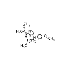 CCCNC(=O)N(c1ccc(OCC)cc1)c1ccnc(N[C@@H](C)COC)n1